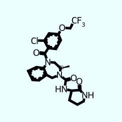 C[C@@H]1CN(C(=O)c2ccc(OCC(F)(F)F)cc2Cl)c2ccccc2CN1C(=O)NC1CCCNC1=O